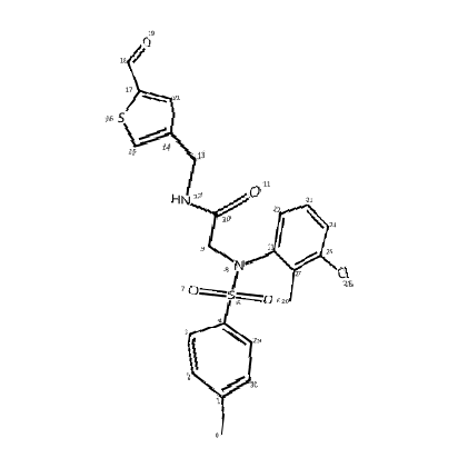 Cc1ccc(S(=O)(=O)N(CC(=O)NCc2csc(C=O)c2)c2cccc(Cl)c2C)cc1